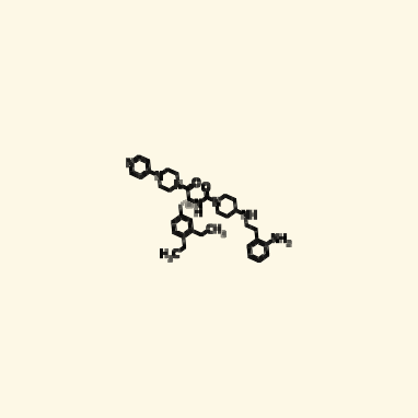 CCc1ccc(C[C@@H](NC(=O)N2CCC(NCCc3ccccc3N)CC2)C(=O)N2CCN(c3ccncc3)CC2)cc1CC